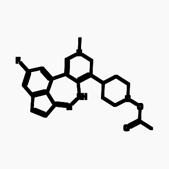 CC(=O)ON1CCC(C2=C3NN=C4C=Cc5cc(F)cc(c54)C3=CN(C)C2)CC1